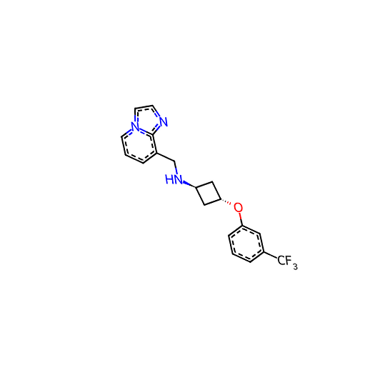 FC(F)(F)c1cccc(O[C@H]2C[C@H](NCc3cccn4ccnc34)C2)c1